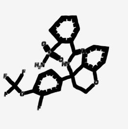 NS(=O)(=O)c1ccccc1C(=O)NC1(c2ccc(OC(F)(F)F)c(F)c2)CCOc2cccnc21